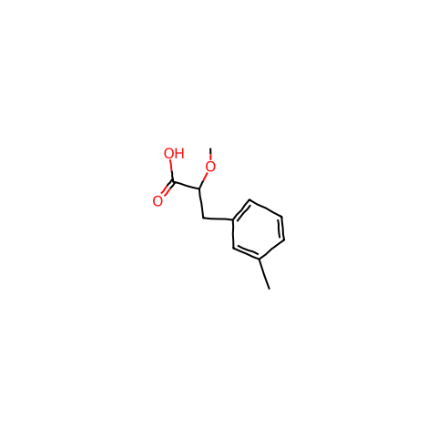 COC(Cc1cccc(C)c1)C(=O)O